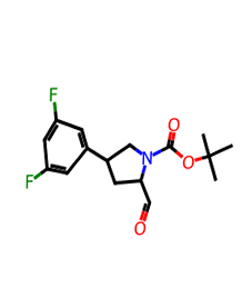 CC(C)(C)OC(=O)N1CC(c2cc(F)cc(F)c2)CC1C=O